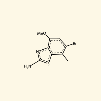 COc1cc(Br)c(C)c2sc(N)nc12